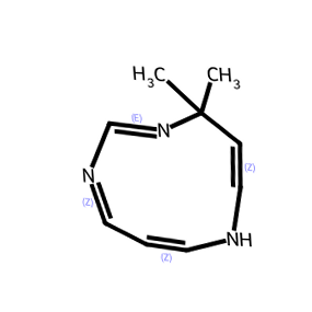 CC1(C)/C=C\N\C=C/C=N\C=N\1